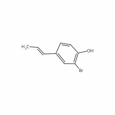 CC=Cc1ccc(O)c(Br)c1